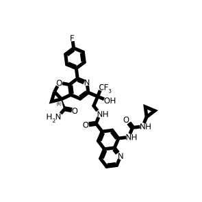 NC(=O)[C@@]12CC1Oc1c2cc(C(O)(CNC(=O)c2cc(NC(=O)NC3CC3)c3ncccc3c2)C(F)(F)F)nc1-c1ccc(F)cc1